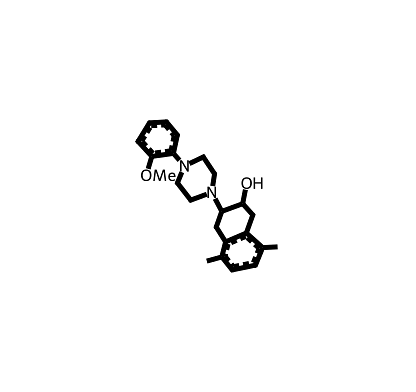 COc1ccccc1N1CCN(C2Cc3c(C)ccc(C)c3CC2O)CC1